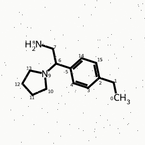 CCc1ccc(C(CN)N2CCCC2)cc1